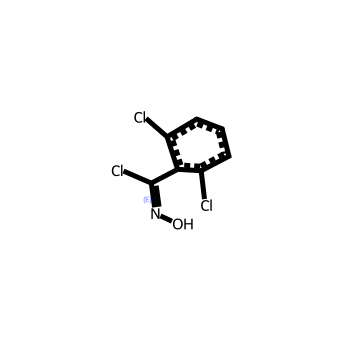 O/N=C(/Cl)c1c(Cl)cccc1Cl